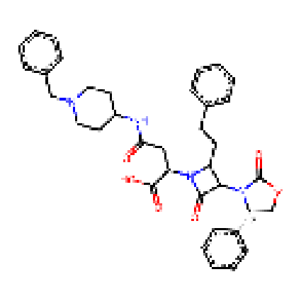 O=C(CC(C(=O)O)N1C(=O)C(N2C(=O)OC[C@@H]2c2ccccc2)C1CCc1ccccc1)NC1CCN(Cc2ccccc2)CC1